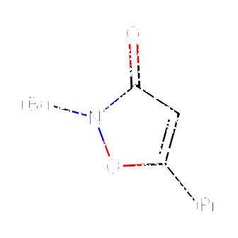 CC(C)c1cc(=O)n(C(C)(C)C)o1